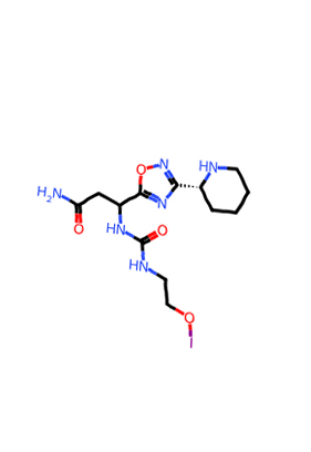 NC(=O)CC(NC(=O)NCCOI)c1nc([C@H]2CCCCN2)no1